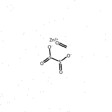 C=O.O=S([O-])S(=O)[O-].[Zn+2]